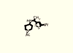 C=C(NC1CCN(C(C)=O)CC1)c1cc(C(C)C)sn1